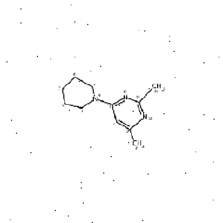 Cc1cc(N2CCCCC2)nc(C)n1